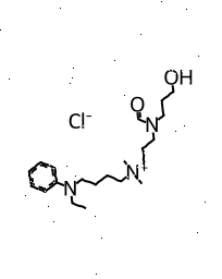 CCN(CCCC[N+](C)(C)CCCN(C=O)CCCO)c1ccccc1.[Cl-]